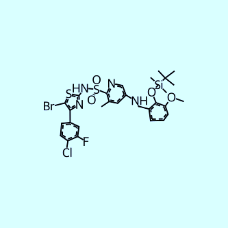 COc1cccc(CNc2cnc(S(=O)(=O)Nc3nc(-c4ccc(Cl)c(F)c4)c(Br)s3)c(C)c2)c1O[Si](C)(C)C(C)(C)C